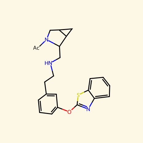 CC(=O)N1CC2CC2C1CNCCc1cccc(Oc2nc3ccccc3s2)c1